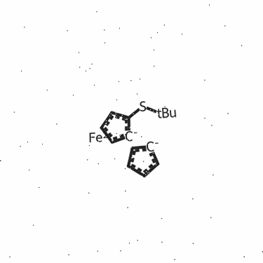 CC(C)(C)Sc1ccc[cH-]1.[Fe+2].c1cc[cH-]c1